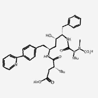 COC(=O)C[C@H](C(=O)N[C@@H](Cc1ccc(-c2ccccn2)cc1)C[C@H](O)[C@H](Cc1ccccc1)NC(=O)N(N(C)C(=O)O)C(C)(C)C)C(C)(C)C